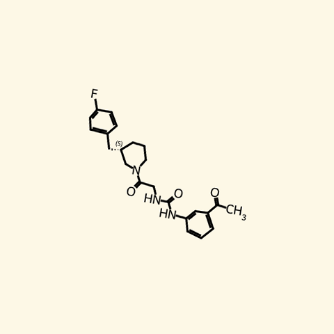 CC(=O)c1cccc(NC(=O)NCC(=O)N2CCC[C@@H](Cc3ccc(F)cc3)C2)c1